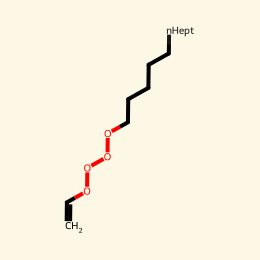 C=COOOOCCCCCCCCCCCC